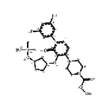 CC(C)(C)OC(=O)N1CCN(c2cnn(-c3cc(F)cc(F)c3)c(=O)c2O[C@H]2CC[C@@H](O[Si](C)(C)C(C)(C)C)C2)CC1